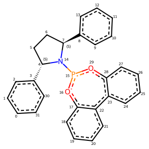 c1ccc([C@@H]2CC[C@@H](c3ccccc3)N2p2oc3ccccc3c3ccccc3o2)cc1